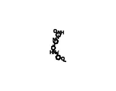 CCOc1cccc([C@@H](C)N[C@H]2CC[C@@H](c3ccc(N4CCNC(=O)C4)nc3)C2)c1